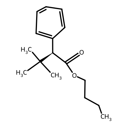 CCCCOC(=O)[C@H](c1ccccc1)C(C)(C)C